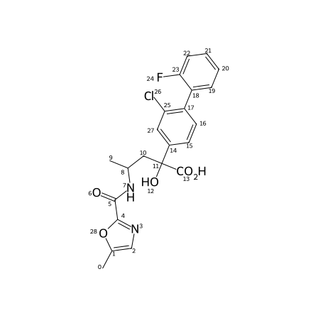 Cc1cnc(C(=O)NC(C)CC(O)(C(=O)O)c2ccc(-c3ccccc3F)c(Cl)c2)o1